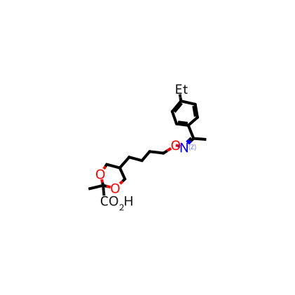 CCc1ccc(/C(C)=N\OCCCCC2COC(C)(C(=O)O)OC2)cc1